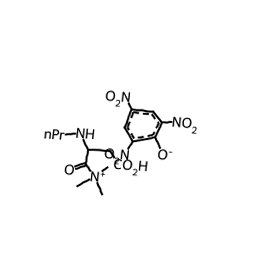 CCCNC(CC(=O)O)C(=O)[N+](C)(C)C.O=[N+]([O-])c1cc([N+](=O)[O-])c([O-])c([N+](=O)[O-])c1